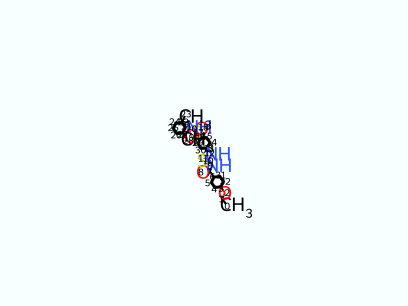 CCOc1ccc(C(=O)NC(=S)Nc2ccc(S(=O)(=O)Nc3c(C)cccc3C)cc2)cc1